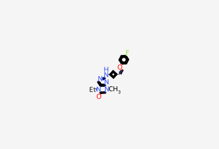 CCN1C(=O)CN(C)c2nc(N[C@H]3C[C@@H](/C=C\Oc4ccc(F)cc4)C3)ncc21